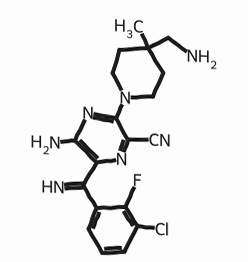 CC1(CN)CCN(c2nc(N)c(C(=N)c3cccc(Cl)c3F)nc2C#N)CC1